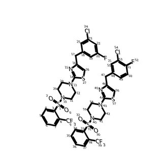 O=S(=O)(c1ccccc1C(F)(F)F)N1CCN(c2nc(Cc3cc(F)cc(Cl)c3)cs2)CC1.O=S(=O)(c1ccccc1C(F)(F)F)N1CCN(c2nc(Cc3ccc(F)c(Cl)c3)cs2)CC1